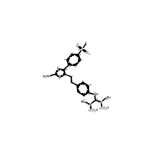 CC(=O)Nc1nc(CCc2ccc(NC(N(C(=O)O)C(C)(C)C)N(C(=O)O)C(C)(C)C)cc2)c(-c2ccc(S(C)(=O)=O)cc2)s1